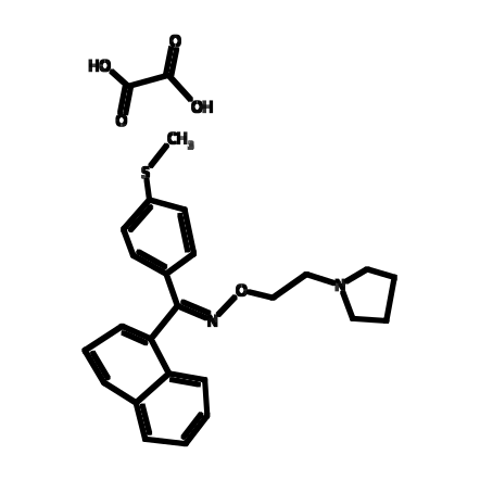 CSc1ccc(C(=NOCCN2CCCC2)c2cccc3ccccc23)cc1.O=C(O)C(=O)O